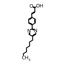 CCCCCCCc1cnc(-c2ccc(C=CC(=O)O)cc2)nc1